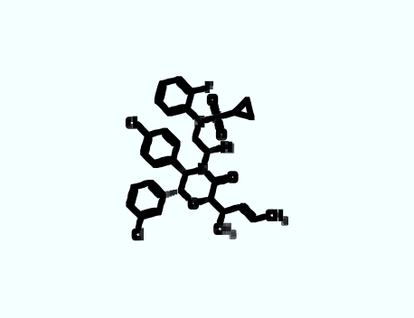 C/C=C/[C@@H](C)[C@H]1O[C@H](c2cccc(Cl)c2)[C@@H](c2ccc(Cl)cc2)N([C@H](CC)CN(c2ccccc2F)S(=O)(=O)C2CC2)C1=O